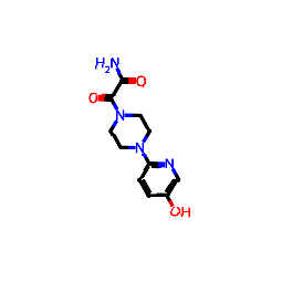 NC(=O)C(=O)N1CCN(c2ccc(O)cn2)CC1